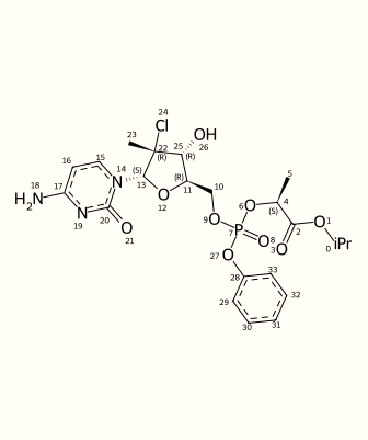 CC(C)OC(=O)[C@H](C)OP(=O)(OC[C@H]1O[C@H](n2ccc(N)nc2=O)[C@](C)(Cl)[C@@H]1O)Oc1ccccc1